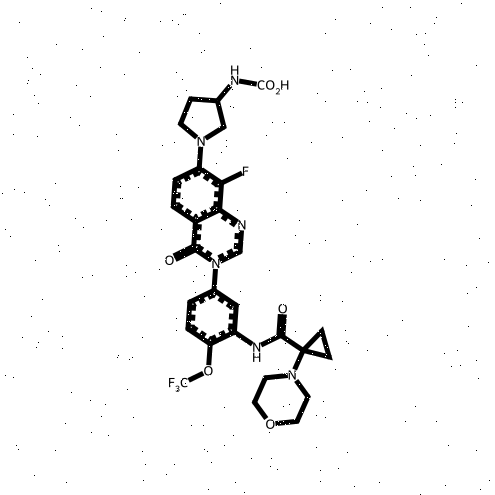 O=C(O)NC1CCN(c2ccc3c(=O)n(-c4ccc(OC(F)(F)F)c(NC(=O)C5(N6CCOCC6)CC5)c4)cnc3c2F)C1